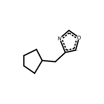 [c]1ocnc1CC1CCCC1